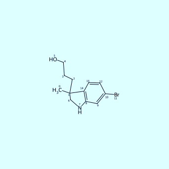 CC1(CCCO)CNc2cc(Br)ccc21